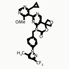 COc1ncnc(C2CC2)c1-c1ncc2c(n1)N(Cc1ccc(-n3nc(C(F)(F)F)cc3C)cc1)C(=O)OC21COC1